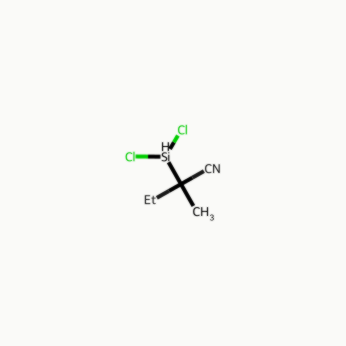 CCC(C)(C#N)[SiH](Cl)Cl